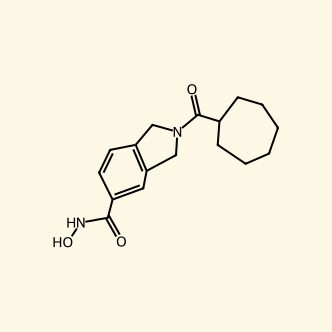 O=C(NO)c1ccc2c(c1)CN(C(=O)C1CCCCCC1)C2